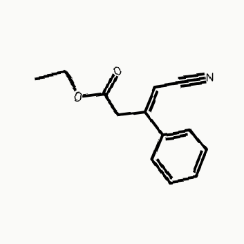 CCOC(=O)C/C(=C/C#N)c1ccccc1